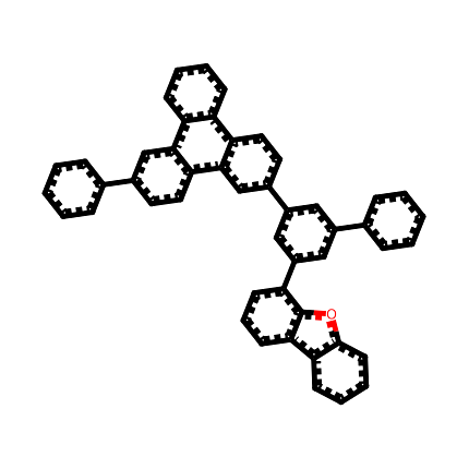 c1ccc(-c2cc(-c3ccc4c5ccccc5c5cc(-c6ccccc6)ccc5c4c3)cc(-c3cccc4c3oc3ccccc34)c2)cc1